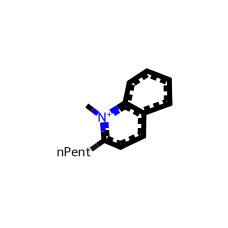 CCCCCc1ccc2ccccc2[n+]1C